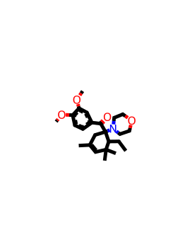 CCC1C(C)(C)C=C(C)CC1(C(=O)c1ccc(OC)c(OC)c1)N1CCOCC1